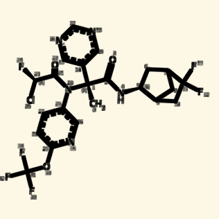 C[C@](C(=O)N[C@H]1CC2CC1CC2(F)F)(c1cncnc1)N(C(=O)[C@H](F)Cl)c1ccc(OC(F)(F)F)nc1